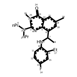 CCCN(CCC)c1nc2c(C(C)Nc3ccc(F)cc3CC)cc(C)cc2c(=O)n1C